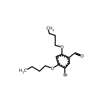 CCCCOc1cc(OCCCC)c(C=O)cc1Br